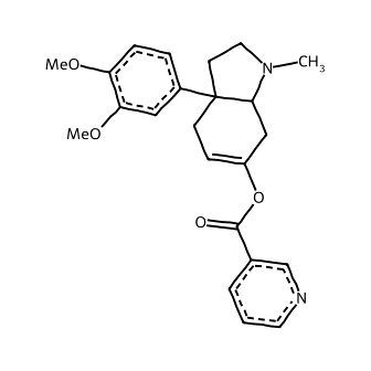 COc1ccc(C23CC=C(OC(=O)c4cccnc4)CC2N(C)CC3)cc1OC